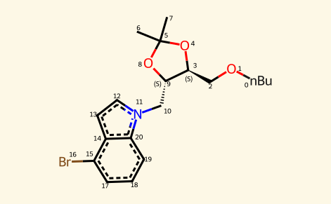 CCCCOC[C@@H]1OC(C)(C)O[C@H]1Cn1ccc2c(Br)cccc21